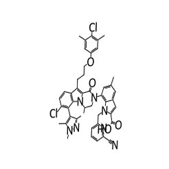 Cc1cc(N2CC(C)n3c(c(CCCOc4cc(C)c(Cl)c(C)c4)c4ccc(Cl)c(-c5c(C)nn(C)c5C)c43)C2=O)c2c(c1)cc(C(=O)O)n2Cc1cccc(C#N)n1